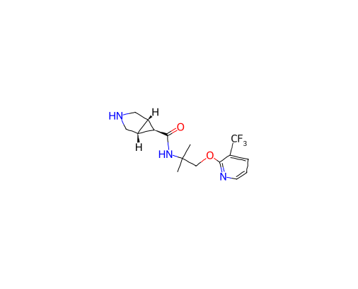 CC(C)(COc1ncccc1C(F)(F)F)NC(=O)[C@H]1[C@@H]2CNC[C@@H]21